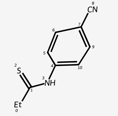 CCC(=S)Nc1ccc(C#N)cc1